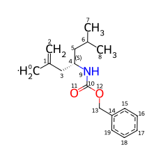 [CH2]C(=C)C[C@H](CC(C)C)NC(=O)OCc1ccccc1